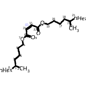 CCCCCCC(C)CCCCOC(=O)/C=C\C(=O)OCCCCC(C)CCCCCC